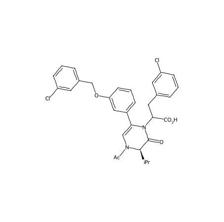 CC(=O)N1C=C(c2cccc(OCc3cccc(Cl)c3)c2)N(C(Cc2cccc(Cl)c2)C(=O)O)C(=O)[C@H]1C(C)C